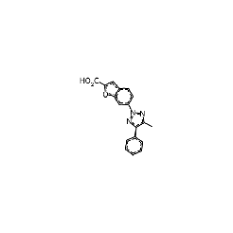 Cc1nn(-c2ccc3cc(C(=O)O)oc3c2)nc1-c1ccccc1